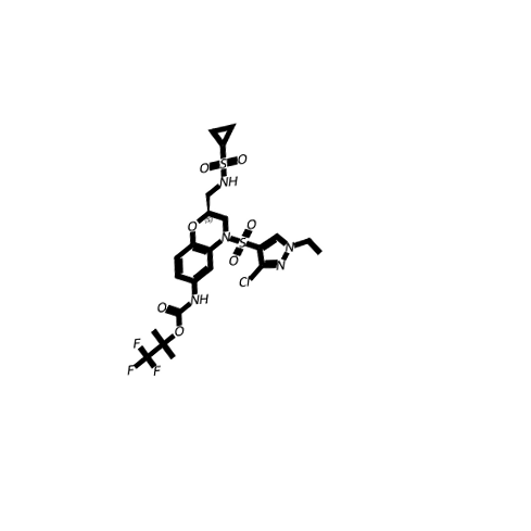 CCn1cc(S(=O)(=O)N2C[C@H](CNS(=O)(=O)C3CC3)Oc3ccc(NC(=O)OC(C)(C)C(F)(F)F)cc32)c(Cl)n1